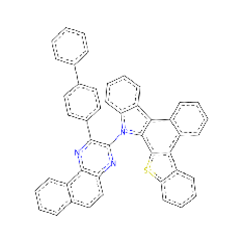 c1ccc(-c2ccc(-c3nc4c(ccc5ccccc54)nc3-n3c4ccccc4c4c5ccccc5c5c6ccccc6sc5c43)cc2)cc1